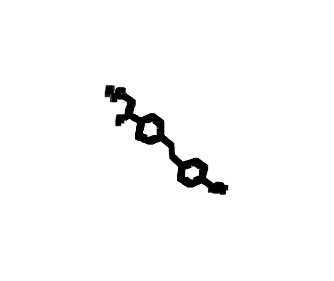 CCCc1ccc(CCc2ccc(/C(F)=C/C(F)(F)F)cc2)cc1